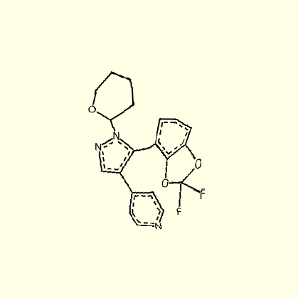 FC1(F)Oc2cccc(-c3c(-c4ccncc4)cnn3C3CCCCO3)c2O1